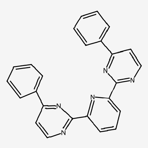 c1ccc(-c2ccnc(-c3cccc(-c4nccc(-c5ccccc5)n4)n3)n2)cc1